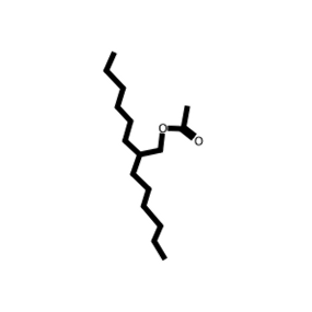 CCCCCCC(CCCCCC)COC(C)=O